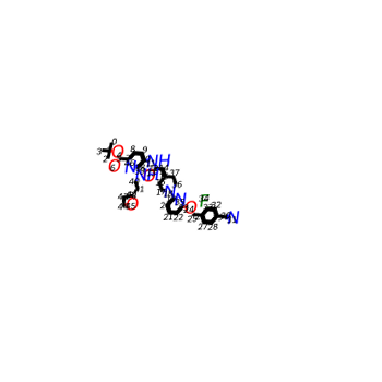 CC(C)(C)OC(=O)c1ccc(NC(=O)C=C2CCN(c3cccc(OCc4ccc(C#N)cc4F)n3)CC2)c(NCC[C@@H]2CCO2)n1